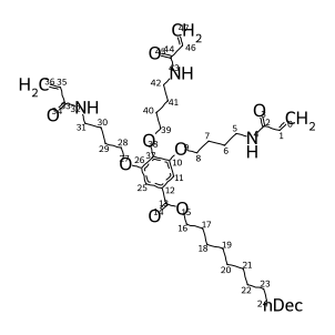 C=CC(=O)NCCCCOc1cc(C(=O)OCCCCCCCCCCCCCCCCCC)cc(OCCCCNC(=O)C=C)c1OCCCCNC(=O)C=C